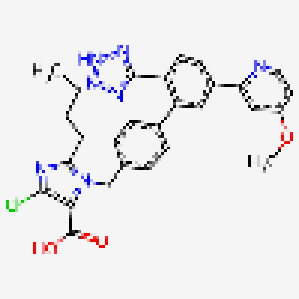 CCCCc1nc(Cl)c(C(=O)O)n1Cc1ccc(-c2cc(-c3cc(OC)ccn3)ccc2-c2nn[nH]n2)cc1